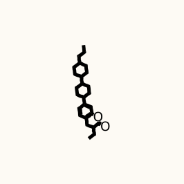 CCCC1CCC(C2CCC(c3ccc4c(c3)OC(=O)C(CC)C4)CC2)CC1